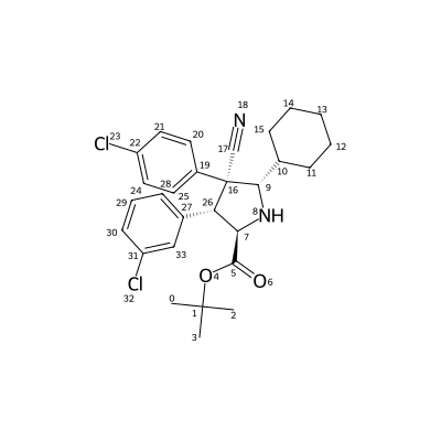 CC(C)(C)OC(=O)[C@@H]1N[C@@H](C2CCCCC2)[C@](C#N)(c2ccc(Cl)cc2)[C@H]1c1cccc(Cl)c1